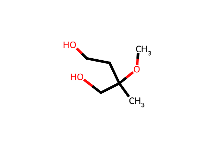 COC(C)(CO)CCO